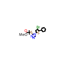 COC(=O)C(C)(C)Sc1nncn1-c1cc(Br)c(-c2ccccc2)s1